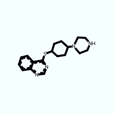 c1ccc2c(SC3CCC(N4CCNCC4)CC3)ncnc2c1